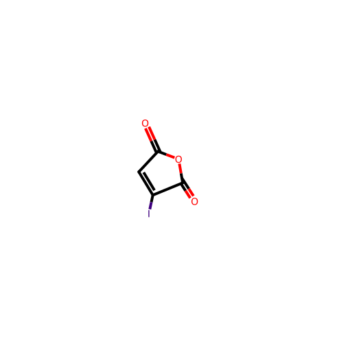 O=C1C=C(I)C(=O)O1